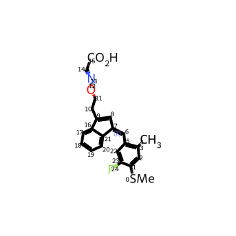 CSc1cc(C)c(/C=C2/C=C(CCON=CC(=O)O)c3ccccc32)cc1F